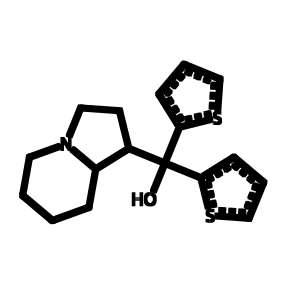 OC(c1cccs1)(c1cccs1)C1CCN2CCCCC12